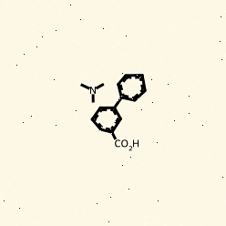 CN(C)C.O=C(O)c1cccc(-c2ccccc2)c1